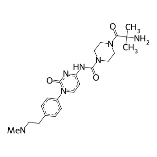 CNCCc1ccc(-n2ccc(NC(=O)N3CCN(C(=O)C(C)(C)N)CC3)nc2=O)cc1